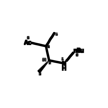 CCCCN[C@H](C)C(C)C(C)=O